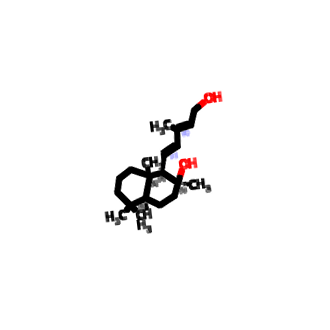 CC(/C=C/[C@@H]1[C@@]2(C)CCCC(C)(C)[C@@H]2CC[C@]1(C)O)=C\CO